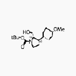 CO[C@H]1CC[C@H]([C@@H]2CCN(C(=O)OC(C)(C)C)[C@@H]2CO)CC1